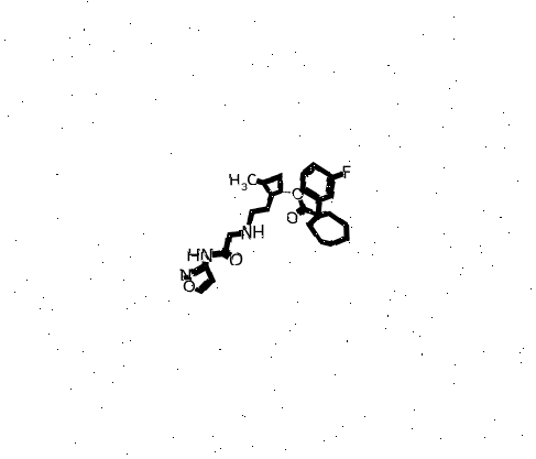 CC1C[C@H](OC(=O)C2(c3cccc(F)c3)CCCCCC2)C1CCNCC(=O)Nc1ccon1